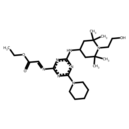 CCOC(=O)C=Nc1nc(NC2CC(C)(C)N(CCO)C(C)(C)C2)nc(N2CCCCC2)n1